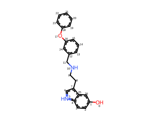 Oc1ccc2[nH]cc(CCNCc3cccc(Oc4ccccc4)c3)c2c1